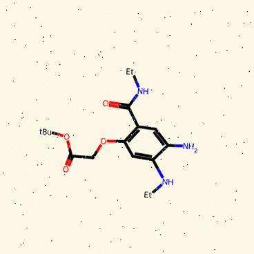 CCNC(=O)c1cc(N)c(NCC)cc1OCC(=O)OC(C)(C)C